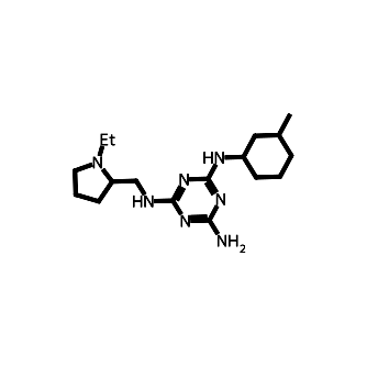 CCN1CCCC1CNc1nc(N)nc(NC2CCCC(C)C2)n1